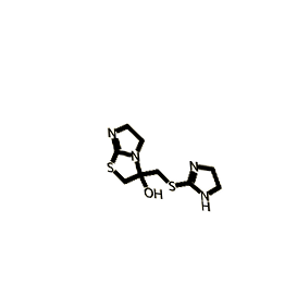 OC1(CSC2=NCCN2)CSC2=NCCN21